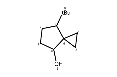 CC(C)(C)C1CCC(O)C12CC2